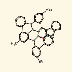 Cc1cc2c3c(c1)N(c1ccc(C(C)(C)C)cc1-c1ccccc1)c1cc4oc5ccccc5c4cc1B3N(c1ccc(C(C)(C)C)cc1)c1ccccc1-2